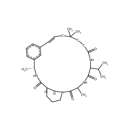 CC1NC(=O)C(C(C)C)NC(=O)CCC(C)(C)C/C=C/c2cccc(c2)[C@@H](C)NC(=O)[C@@H]2CCCN(N2)C1=O